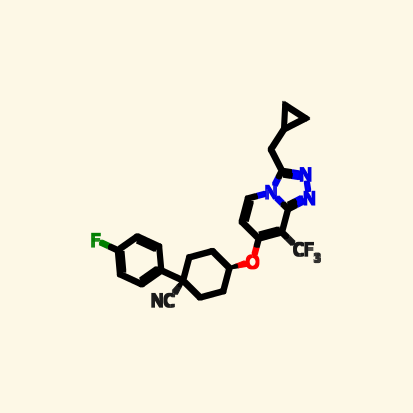 N#C[C@]1(c2ccc(F)cc2)CC[C@H](Oc2ccn3c(CC4CC4)nnc3c2C(F)(F)F)CC1